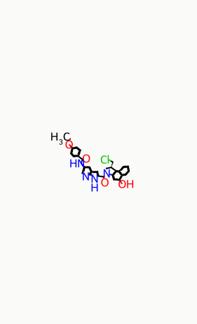 CCOc1ccc(C(=O)Nc2cnc3[nH]c(C(=O)N4C[C@@H](CCl)c5c4cc(O)c4ccccc54)cc3c2)cc1